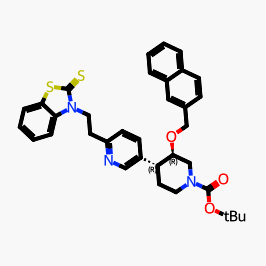 CC(C)(C)OC(=O)N1CC[C@H](c2ccc(CCn3c(=S)sc4ccccc43)nc2)[C@@H](OCc2ccc3ccccc3c2)C1